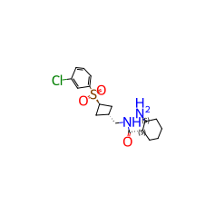 N[C@H]1CCCC[C@@H]1C(=O)NC[C@H]1C[C@H](S(=O)(=O)c2cccc(Cl)c2)C1